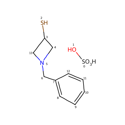 O=S(=O)(O)O.SC1CN(Cc2ccccc2)C1